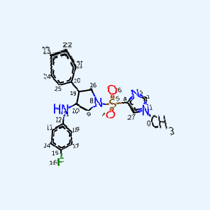 Cn1cnc(S(=O)(=O)N2CC(Nc3ccc(F)cc3)C(c3ccccc3)C2)c1